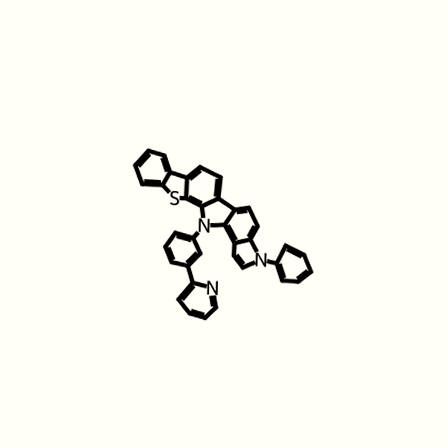 c1ccc(-n2ccc3c2ccc2c4ccc5c6ccccc6sc5c4n(-c4cccc(-c5ccccn5)c4)c23)cc1